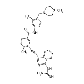 Cc1ccc(C(=O)Nc2ccc(CN3CCN(C)CC3)c(C(F)(F)F)c2)cc1C#Cc1cnc(NC(=N)N)c2ccccc12